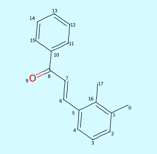 Cc1cccc(C=CC(=O)c2ccccc2)c1C